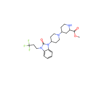 COC(=O)C1CC(N2CCC(n3c(=O)n(CCC(F)(F)F)c4ccccc43)CC2)CCN1